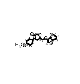 COc1ccc(N2CC(COc3coc4cccnc34)OCC2=O)cc1